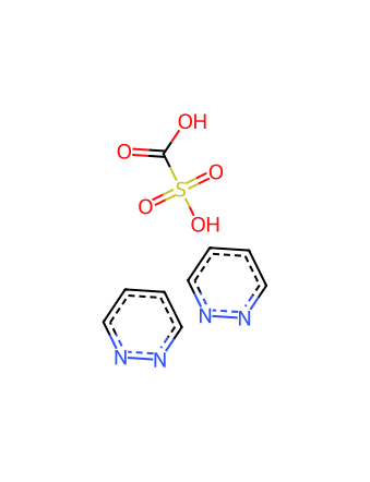 O=C(O)S(=O)(=O)O.c1ccnnc1.c1ccnnc1